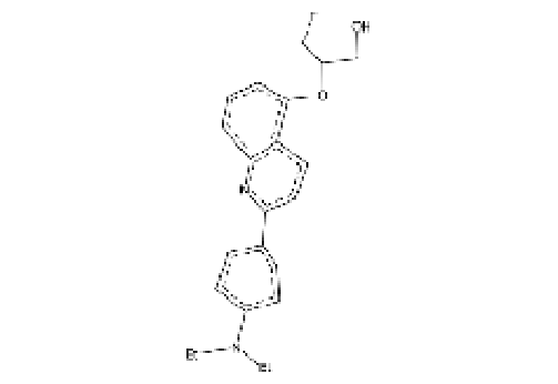 CCN(CC)c1ccc(-c2ccc3c(OC(CO)CF)cccc3n2)cc1